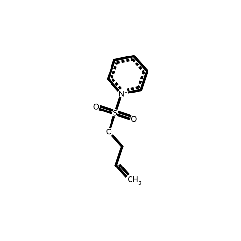 C=CCOS(=O)(=O)[n+]1ccccc1